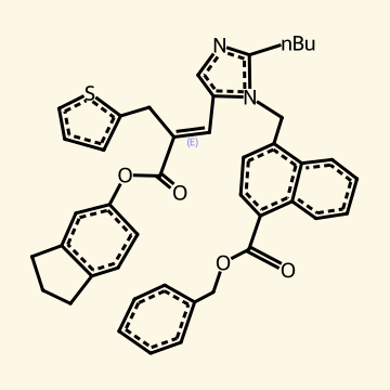 CCCCc1ncc(/C=C(\Cc2cccs2)C(=O)Oc2ccc3c(c2)CCC3)n1Cc1ccc(C(=O)OCc2ccccc2)c2ccccc12